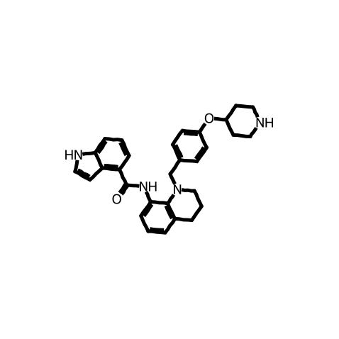 O=C(Nc1cccc2c1N(Cc1ccc(OC3CCNCC3)cc1)CCC2)c1cccc2[nH]ccc12